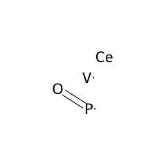 O=[P].[Ce].[V]